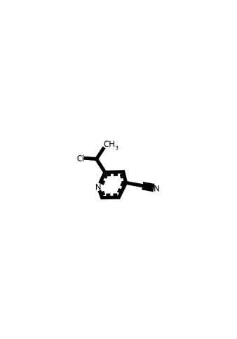 CC(Cl)c1cc(C#N)ccn1